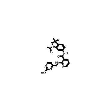 COc1nccc(CNc2ncccc2C(=O)Nc2ccc3c(c2)N(C(C)=O)CC3(C)C)n1